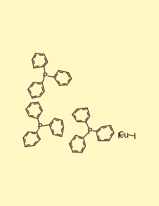 [I][Cu][I].c1ccc(P(c2ccccc2)c2ccccc2)cc1.c1ccc(P(c2ccccc2)c2ccccc2)cc1.c1ccc(P(c2ccccc2)c2ccccc2)cc1